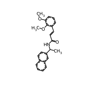 COc1cccc(C=CC(=O)NC(C)c2ccc3ccccc3c2)c1OC